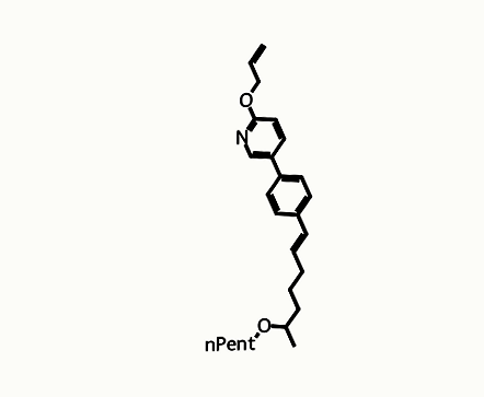 C=CCOc1ccc(-c2ccc(/C=C/CCCC(C)OCCCCC)cc2)cn1